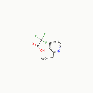 CC(=O)OCc1ccccn1.O=C(O)C(F)(F)F